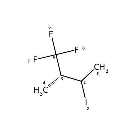 CC(I)[C@H](C)C(F)(F)F